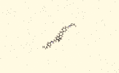 C/C=C/CCC1CCC(C2CCC(c3ccc(CC/C=C/C4CCC(C)CC4)c(F)c3F)CC2)CC1